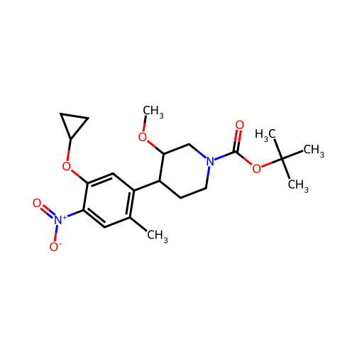 COC1CN(C(=O)OC(C)(C)C)CCC1c1cc(OC2CC2)c([N+](=O)[O-])cc1C